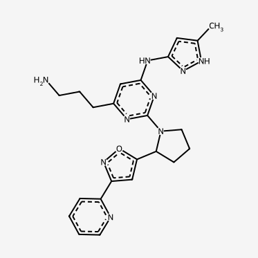 Cc1cc(Nc2cc(CCCN)nc(N3CCCC3c3cc(-c4ccccn4)no3)n2)n[nH]1